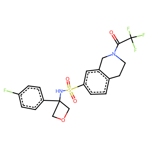 O=C(N1CCc2ccc(S(=O)(=O)NC3(c4ccc(F)cc4)COC3)cc2C1)C(F)(F)F